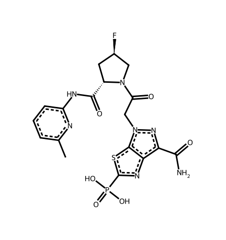 Cc1cccc(NC(=O)[C@@H]2C[C@@H](F)CN2C(=O)Cn2nc(C(N)=O)c3nc(P(=O)(O)O)sc32)n1